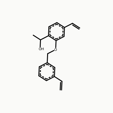 C=Cc1cccc(COc2cc(C=C)ccc2C(C)O)c1